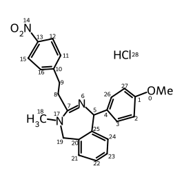 COc1ccc(C2N=C(CCc3ccc([N+](=O)[O-])cc3)N(C)Cc3ccccc32)cc1.Cl